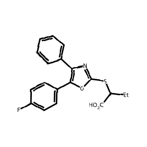 CCC(Sc1nc(-c2ccccc2)c(-c2ccc(F)cc2)o1)C(=O)O